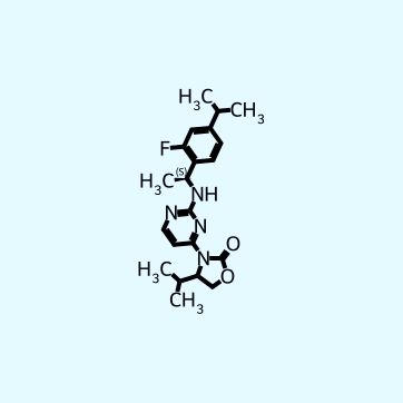 CC(C)c1ccc([C@H](C)Nc2nccc(N3C(=O)OCC3C(C)C)n2)c(F)c1